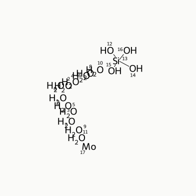 O.O.O.O.O.O.O.O.O.O.O.O.O[Si](O)(O)O.[Mo]